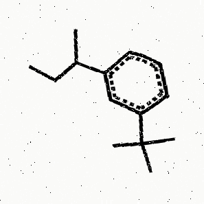 CCC(C)c1cccc(C(C)(C)C)c1